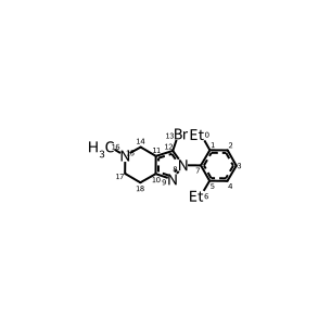 CCc1cccc(CC)c1-n1nc2c(c1Br)CN(C)CC2